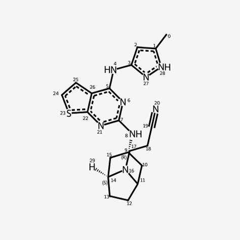 Cc1cc(Nc2nc(N[C@@H]3CC4CC[C@@H](C3)N4CCC#N)nc3sccc23)n[nH]1